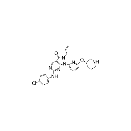 C=CCn1c(=O)c2cnc(Nc3ccc(Cl)cc3)nc2n1-c1cccc(O[C@@H]2CCCNC2)n1